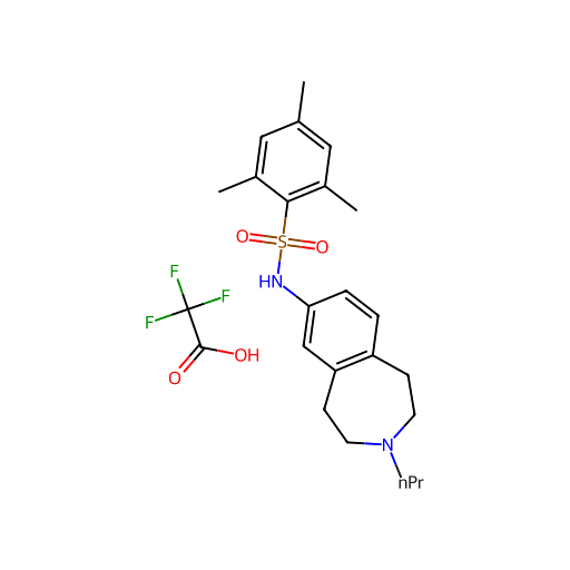 CCCN1CCc2ccc(NS(=O)(=O)c3c(C)cc(C)cc3C)cc2CC1.O=C(O)C(F)(F)F